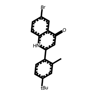 Cc1cc(C(C)(C)C)ccc1-c1cc(=O)c2cc(Br)ccc2[nH]1